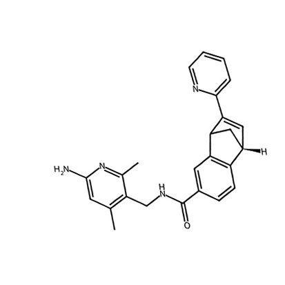 Cc1cc(N)nc(C)c1CNC(=O)c1ccc2c(c1)C1C[C@@H]2C=C1c1ccccn1